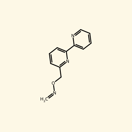 C=NOCc1cccc(-c2ccccn2)n1